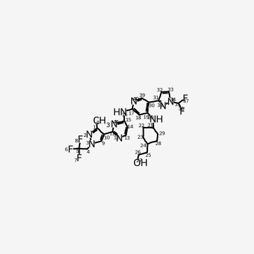 Cc1nn(CC(F)(F)F)cc1-c1nccc(Nc2cc(NC3CCC(CCO)CC3)c(-c3ccn(C(F)F)n3)cn2)n1